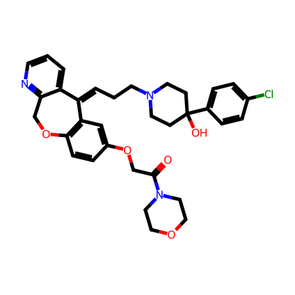 O=C(COc1ccc2c(c1)C(=CCCN1CCC(O)(c3ccc(Cl)cc3)CC1)c1cccnc1CO2)N1CCOCC1